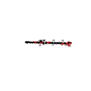 CCCCCCCCCCCCCCCC(=O)NC(CCC(=O)NCCOCCOCCC(=O)NCCOCCOCCC(=O)NCCCCC(NC(C)C)C(=O)NC(C)(C)C)C(=O)O